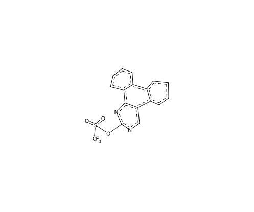 O=S(=O)(Oc1ncc2c3ccccc3c3ccccc3c2n1)C(F)(F)F